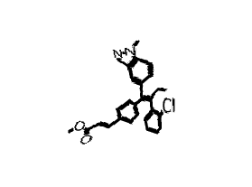 CC/C(=C(/c1ccc(/C=C/C(=O)OC)cc1)c1ccc2c(cnn2C)c1)c1ccccc1Cl